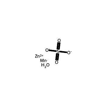 O.O=S(=O)([O-])[O-].[Mn].[Zn+2]